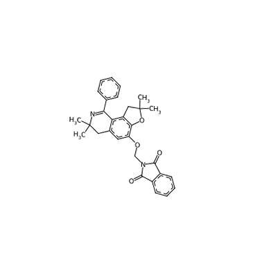 CC1(C)Cc2cc(OCN3C(=O)c4ccccc4C3=O)c3c(c2C(c2ccccc2)=N1)CC(C)(C)O3